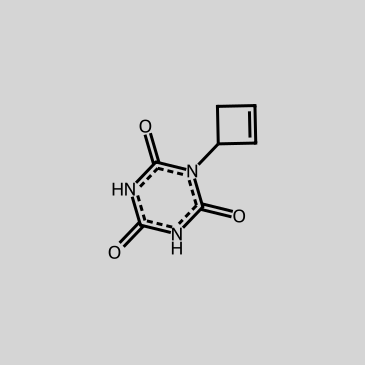 O=c1[nH]c(=O)n(C2C=CC2)c(=O)[nH]1